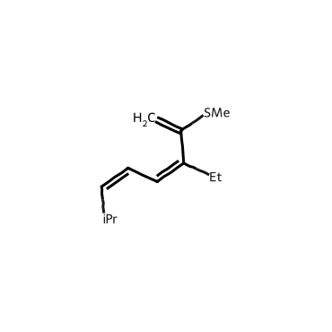 C=C(SC)/C(=C\C=C/C(C)C)CC